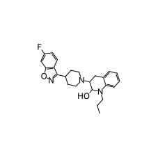 CCCN1c2ccccc2CC(N2CCC(c3noc4cc(F)ccc34)CC2)C1O